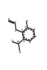 C=CCc1c(C)cccc1C(C)C